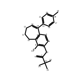 C=C(Cc1ccc2c(c1F)CCCC=C2c1ccc(C)cc1)C(C)(C)C